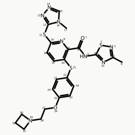 Cc1nsc(NC(=O)c2nc(Sc3nncn3C)ccc2Sc2ccc(OCCN3CCC3)cc2)n1